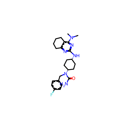 CN(C)c1nc(N[C@H]2CC[C@@H](N(Cc3ccc(F)cc3)C(N)=O)CC2)nc2c1CCCC2